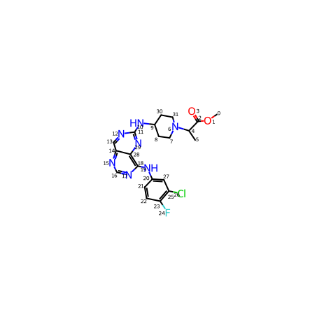 COC(=O)C(C)N1CCC(Nc2ncc3ncnc(Nc4ccc(F)c(Cl)c4)c3n2)CC1